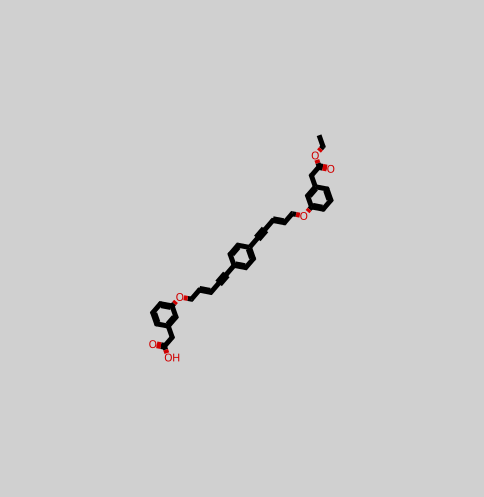 CCOC(=O)Cc1cccc(OCC=CC#Cc2ccc(C#CC=CCOc3cccc(CC(=O)O)c3)cc2)c1